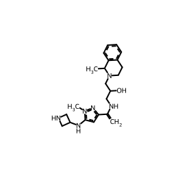 C=C(NCC(O)CN1CCc2ccccc2C1C)c1cc(NC2CNC2)n(C)n1